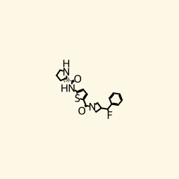 O=C(Nc1ccc(C(=O)N2CC(C(F)c3ccccc3)C2)s1)[C@@H]1CCCN1